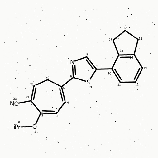 CC(C)OC1=CC=C(c2ncc(-c3cccc4c3CCC4)s2)CC=C1C#N